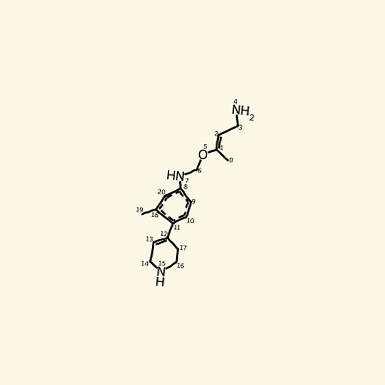 C/C(=C\CN)OCNc1ccc(C2=CCNCC2)c(C)c1